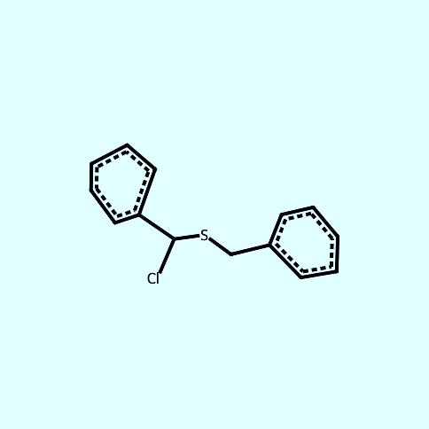 ClC(SCc1ccccc1)c1ccccc1